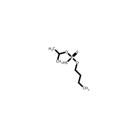 CCCCOP(=S)(S)OC(C)C